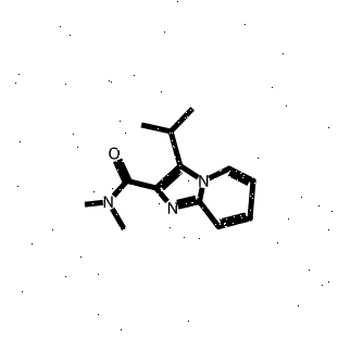 CC(C)c1c(C(=O)N(C)C)nc2ccccn12